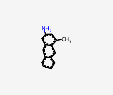 Cc1cc(N)cc2cc3ccccc3cc12